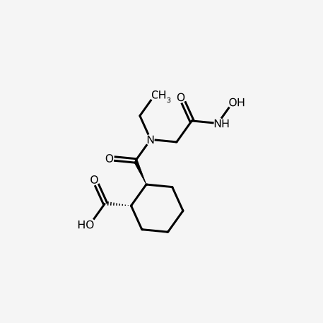 CCN(CC(=O)NO)C(=O)[C@H]1CCCC[C@@H]1C(=O)O